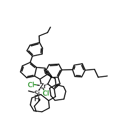 CCCc1ccc(-c2cccc3c2C=C(CC2CCCCCC2)[CH]3[Zr]([Cl])([Cl])([CH]2C(CC3CCCCCC3)=Cc3c(-c4ccc(CCC)cc4)cccc32)[SiH](C)CCC)cc1